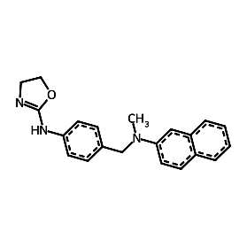 CN(Cc1ccc(NC2=NCCO2)cc1)c1ccc2ccccc2c1